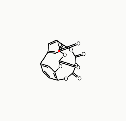 O=C1OC(=O)Oc2cc3ccc2oc(=O)oc(=O)oc2ccc3cc2O1